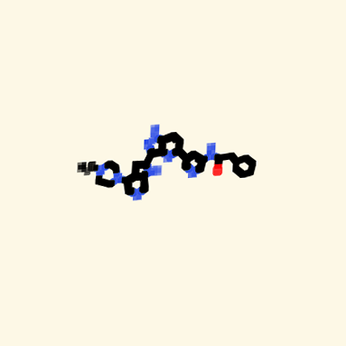 CN1CCN(c2cncc3[nH]c(-c4n[nH]c5ccc(-c6cncc(NC(=O)CC7CCCCC7)c6)nc45)cc23)CC1